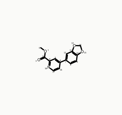 COC(=O)c1cc(-c2ccc3c(c2)OCO3)ccn1